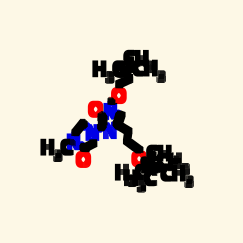 CN1CCN(c2nc(CCCO[Si](C)(C)C(C)(C)C)cn(COCC[Si](C)(C)C)c2=O)CC1=O